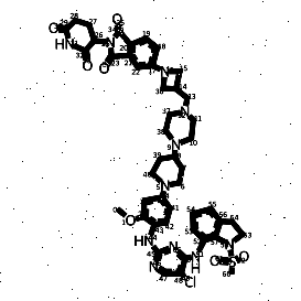 COc1cc(N2CCC(N3CCN(CC4CN(c5ccc6c(c5)C(=O)N(C5CCC(=O)NC5=O)C6=O)C4)CC3)CC2)ccc1Nc1ncc(Cl)c(Nc2cccc3c2N(S(C)(=O)=O)CC3)n1